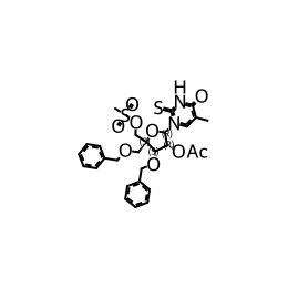 CC(=O)O[C@H]1[C@H](n2cc(C)c(=O)[nH]c2=S)O[C@@](COCc2ccccc2)(COS(C)(=O)=O)[C@H]1OCc1ccccc1